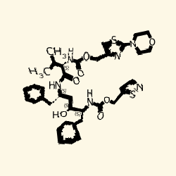 CC(C)[C@H](NC(=O)OCc1csc(N2CCOCC2)n1)C(=O)N[C@@H](Cc1ccccc1)C[C@H](O)[C@H](Cc1ccccc1)NC(=O)OCc1ccns1